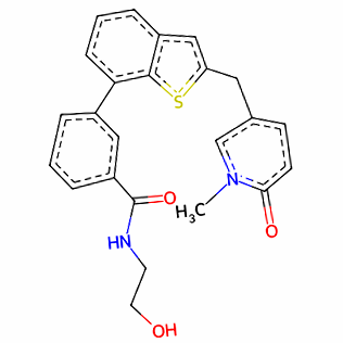 Cn1cc(Cc2cc3cccc(-c4cccc(C(=O)NCCO)c4)c3s2)ccc1=O